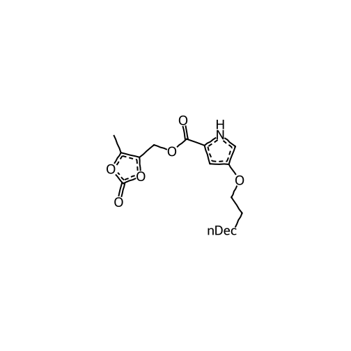 CCCCCCCCCCCCOc1c[nH]c(C(=O)OCc2oc(=O)oc2C)c1